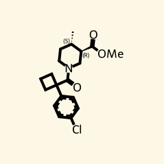 COC(=O)[C@H]1CN(C(=O)C2(c3ccc(Cl)cc3)CCC2)CC[C@@H]1C